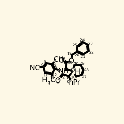 CCCC(C(=O)Nc1c(C)cc(C#N)cc1C)[PH]1(CC(=O)OCc2ccccc2)CCCCC1